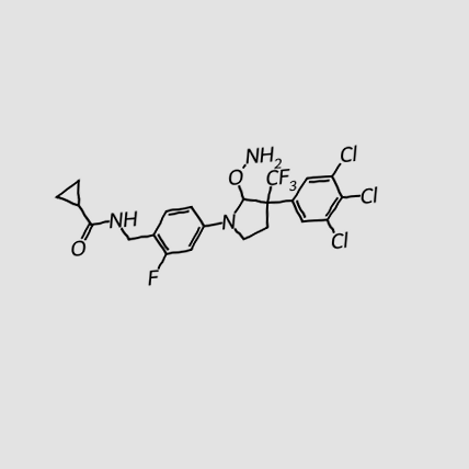 NOC1N(c2ccc(CNC(=O)C3CC3)c(F)c2)CCC1(c1cc(Cl)c(Cl)c(Cl)c1)C(F)(F)F